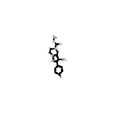 Bc1c(-c2ccc(F)cc2)nn2c1CN(C(=O)OC(C)(C)C)CC2